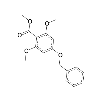 COC(=O)c1c(OC)cc(OCc2ccccc2)cc1OC